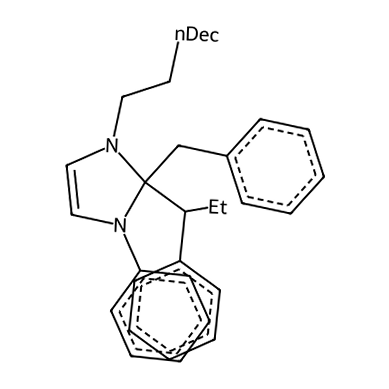 CCCCCCCCCCCCN1C=CN(c2ccccc2)C1(Cc1ccccc1)C(CC)c1ccccc1